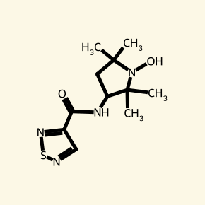 CC1(C)CC(NC(=O)c2cnsn2)C(C)(C)N1O